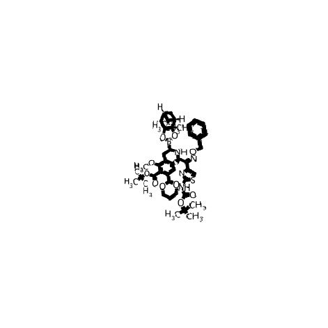 COc1c(CC(NC(=O)/C(=N\OCc2ccccc2)c2csc(NC(=O)OC(C)(C)C)n2)B2OC3C[C@H]4C[C@@H](C4(C)C)[C@]3(C)O2)ccc(C2OCCCO2)c1C(=O)OC(C)(C)C